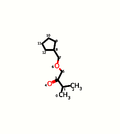 CC(C)C(=O)COCC1CCCC1